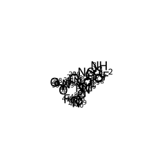 N#Cc1c(N)sc2c(F)ccc(-c3c(Cl)cc4c(N5CCCCC6(CN(C(=O)C7COC7)C6)C5)nc(OC[C@@]56CCCN5C[C@H](F)C6)nc4c3F)c12